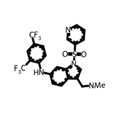 CNCc1cn(S(=O)(=O)c2cccnc2)c2cc(Nc3ccc(C(F)(F)F)cc3C(F)(F)F)ccc12